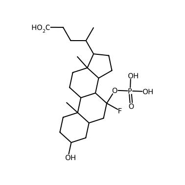 CC(CCC(=O)O)C1CCC2C3C(CCC12C)C1(C)CCC(O)CC1CC3(F)OP(=O)(O)O